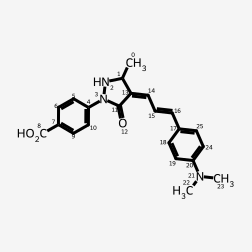 CC1NN(c2ccc(C(=O)O)cc2)C(=O)C1=CC=Cc1ccc(N(C)C)cc1